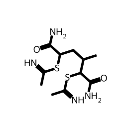 CC(=N)SC(CC(C)C(SC(C)=N)C(N)=O)C(N)=O